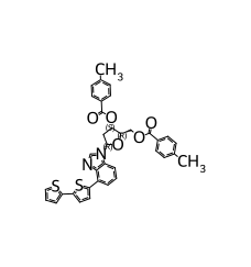 Cc1ccc(C(=O)OC[C@H]2O[C@@H](n3cnc4c(-c5ccc(-c6cccs6)s5)cccc43)C[C@@H]2OC(=O)c2ccc(C)cc2)cc1